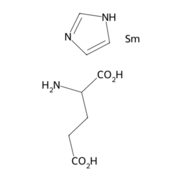 NC(CCC(=O)O)C(=O)O.[Sm].c1c[nH]cn1